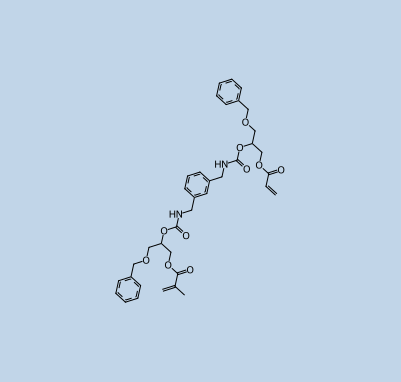 C=CC(=O)OCC(COCc1ccccc1)OC(=O)NCc1cccc(CNC(=O)OC(COCc2ccccc2)COC(=O)C(=C)C)c1